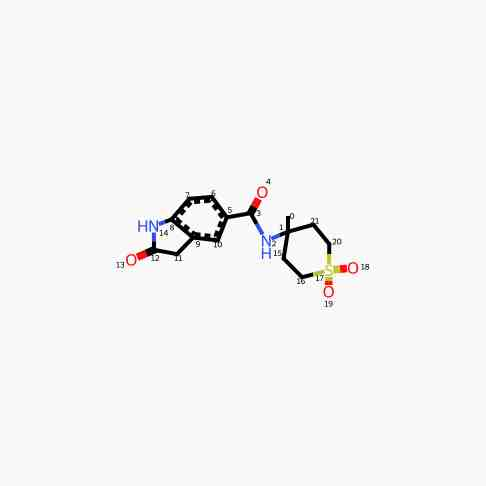 CC1(NC(=O)c2ccc3c(c2)CC(=O)N3)CCS(=O)(=O)CC1